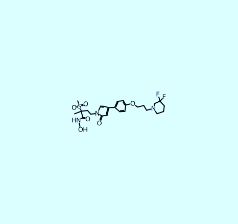 CC(CCn1ccc(-c2ccc(OCCCN3CCCC(F)(F)C3)cc2)cc1=O)(C(=O)NO)S(C)(=O)=O